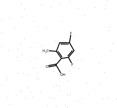 Cc1cc(F)cc(F)c1C(=O)O